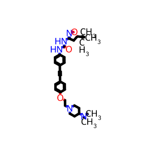 CN(C)C1CCN(CCOc2ccc(C#Cc3ccc(NC(=O)NC4=NOC(C(C)(C)C)C4)cc3)cc2)CC1